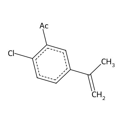 C=C(C)c1ccc(Cl)c(C(C)=O)c1